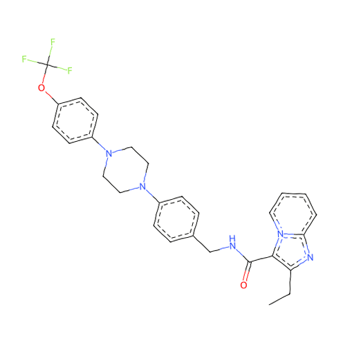 CCc1nc2ccccn2c1C(=O)NCc1ccc(N2CCN(c3ccc(OC(F)(F)F)cc3)CC2)cc1